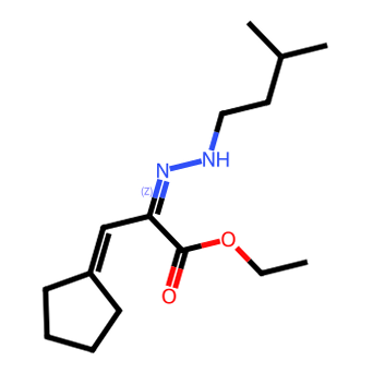 CCOC(=O)/C(C=C1CCCC1)=N\NCCC(C)C